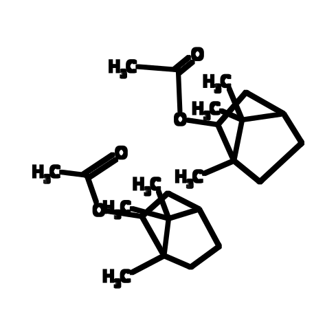 CC(=O)OC1CC2CCC1(C)C2(C)C.CC(=O)OC1CC2CCC1(C)C2(C)C